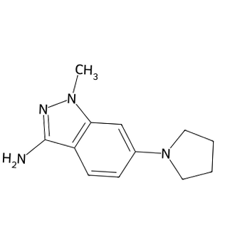 Cn1nc(N)c2ccc(N3CCCC3)cc21